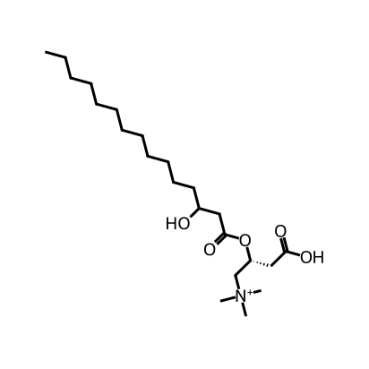 CCCCCCCCCCCCC(O)CC(=O)O[C@H](CC(=O)O)C[N+](C)(C)C